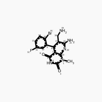 Cn1c(=O)[nH]c(=O)c2c(-c3cc(F)ccc3Br)c(CN)c(N)nc21